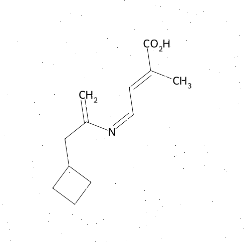 C=C(CC1CCC1)/N=C\C=C(/C)C(=O)O